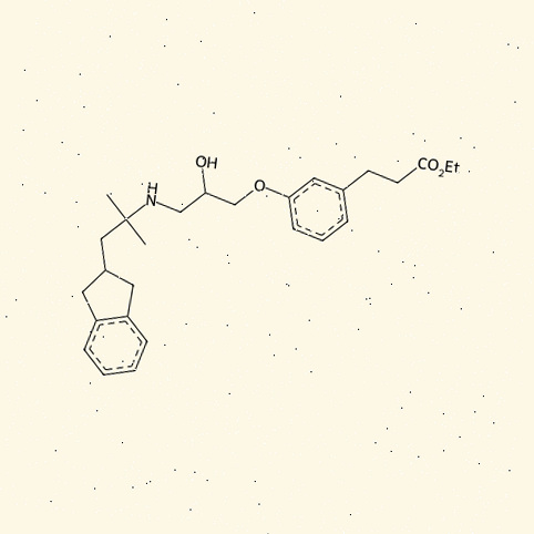 CCOC(=O)CCc1cccc(OCC(O)CNC(C)(C)CC2Cc3ccccc3C2)c1